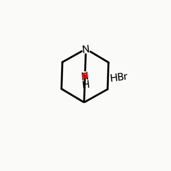 Br.C1CN2CCC1CN2